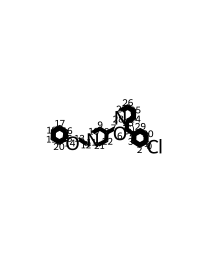 Clc1ccc([C@H](OCC2CCN(CCOc3ccccc3)CC2)c2ccccn2)cc1